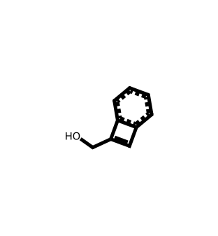 OCC1=Cc2ccccc21